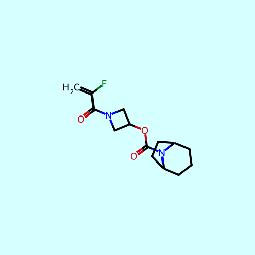 C=C(F)C(=O)N1CC(OC(=O)N2C3CCCC2CC3)C1